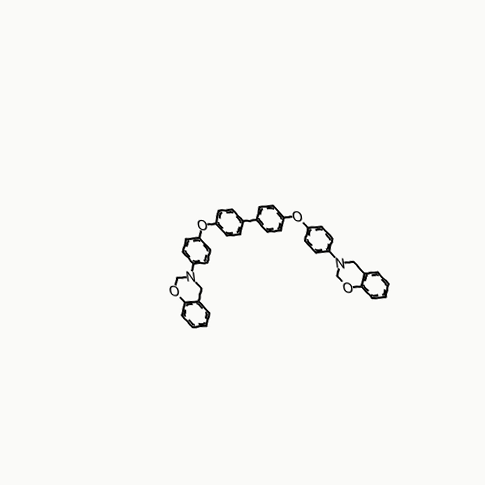 c1ccc2c(c1)CN(c1ccc(Oc3ccc(-c4ccc(Oc5ccc(N6COc7ccccc7C6)cc5)cc4)cc3)cc1)CO2